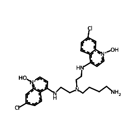 NCCCCN(CCNc1cc[n+](O)c2cc(Cl)ccc12)CCNc1cc[n+](O)c2cc(Cl)ccc12